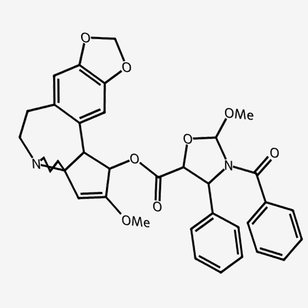 COC1=CC23CCCN2CCc2cc4c(cc2C3C1OC(=O)C1OC(OC)N(C(=O)c2ccccc2)C1c1ccccc1)OCO4